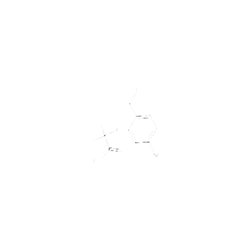 Nc1ccc(CF)cc1.O=C(O)C(F)(F)F